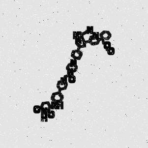 N#Cc1cnn2cc(-c3ccc(N4CCN(C(=O)CN5CCC(c6ccc(NC7CCC(=O)NC7=O)cc6)CC5)CC4)cc3)cc(-c3ccc(C4(COC=O)CCCCC4)nc3)c12